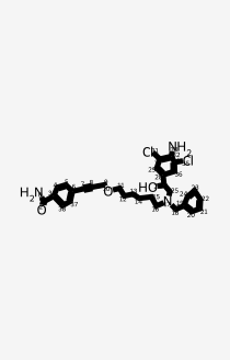 NC(=O)c1ccc(C#CCOCCCCCCN(Cc2ccccc2)CC(O)c2cc(Cl)c(N)c(Cl)c2)cc1